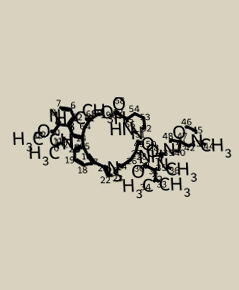 CCn1c(-c2cccnc2[C@H](C)OC)c2c3cc(ccc31)-c1csc(n1)C[C@H](NC(=O)C(C(C)C)N(C)C(=O)N1CC3(CN(C)CCO3)C1)C(=O)N1CCC[C@H](N1)C(=O)OCC(C)(C)C2